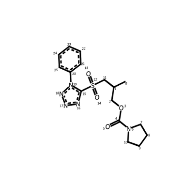 CC(COC(=O)N1CCCC1)CS(=O)(=O)c1nnnn1-c1ccccc1